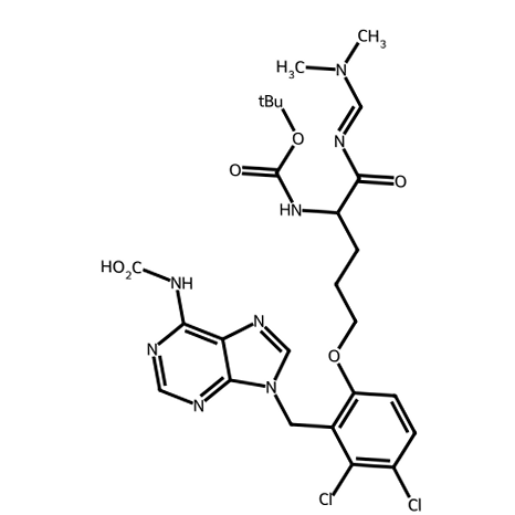 CN(C)C=NC(=O)C(CCCOc1ccc(Cl)c(Cl)c1Cn1cnc2c(NC(=O)O)ncnc21)NC(=O)OC(C)(C)C